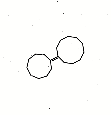 C1CCCCC(=C2CCCCCCCC2)CCCC1